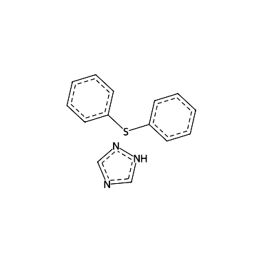 c1ccc(Sc2ccccc2)cc1.c1nc[nH]n1